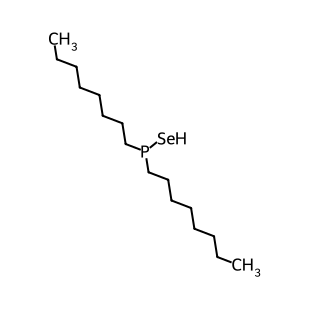 CCCCCCCCP([SeH])CCCCCCCC